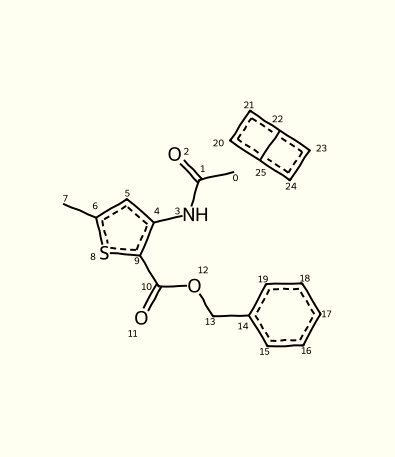 CC(=O)Nc1cc(C)sc1C(=O)OCc1ccccc1.c1cc2ccc1-2